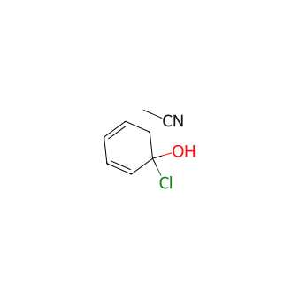 CC#N.OC1(Cl)C=CC=CC1